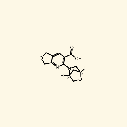 O=C(O)c1cc2c(nc1N1C[C@H]3C[C@@H]1CO3)COC2